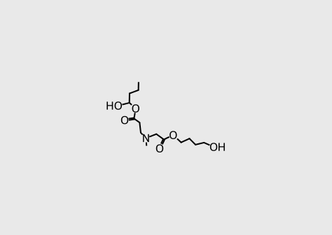 CCCC(O)OC(=O)CCN(C)CC(=O)OCCCCO